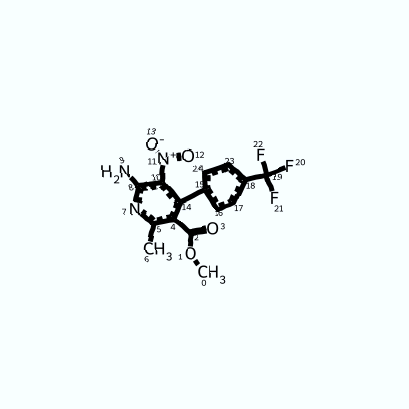 COC(=O)c1c(C)nc(N)c([N+](=O)[O-])c1-c1ccc(C(F)(F)F)cc1